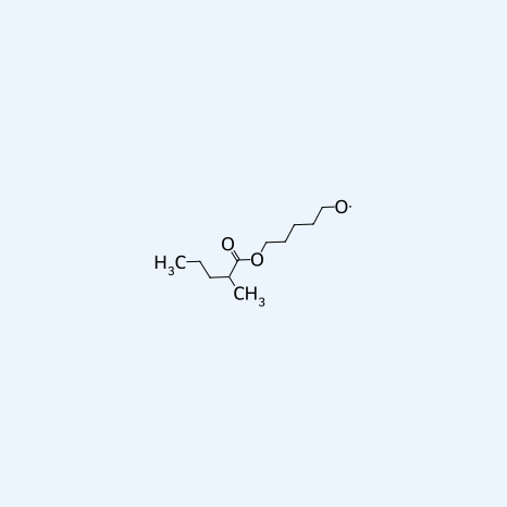 CCCC(C)C(=O)OCCCCC[O]